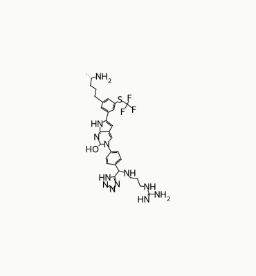 C[C@H](N)CCCc1cc(SC(F)(F)F)cc(-c2cc3c([nH]2)=NC(O)N(c2ccc(C(NCCCNC(=N)N)c4nnn[nH]4)cc2)C=3)c1